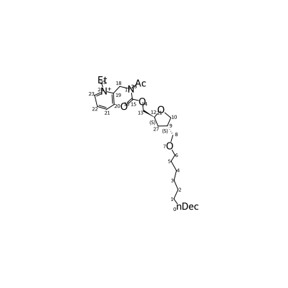 CCCCCCCCCCCCCCCCOC[C@H]1CO[C@H](COC(=O)N(Cc2cccc[n+]2CC)C(C)=O)C1